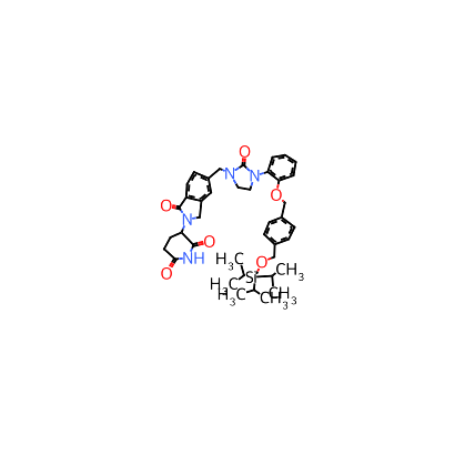 CC(C)[Si](OCc1ccc(COc2ccccc2N2CCN(Cc3ccc4c(c3)CN(C3CCC(=O)NC3=O)C4=O)C2=O)cc1)(C(C)C)C(C)C